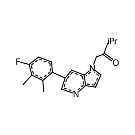 Cc1c(F)ccc(-c2cnc3ccn(CC(=O)C(C)C)c3c2)c1C